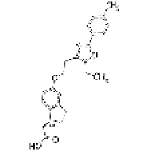 CCc1oc(-c2ccc(C)cc2)nc1CCOc1ccc2c(c1)CC[C@H]2CC(=O)O